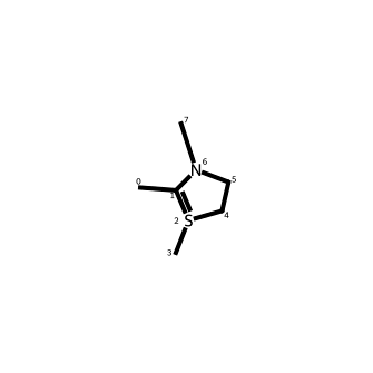 CC1=S(C)CCN1C